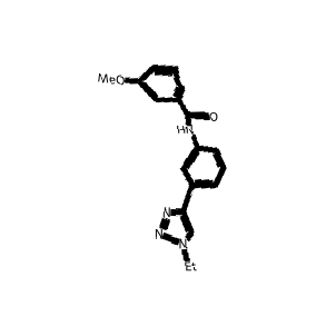 CCn1cc(-c2cccc(NC(=O)c3cccc(OC)c3)c2)nn1